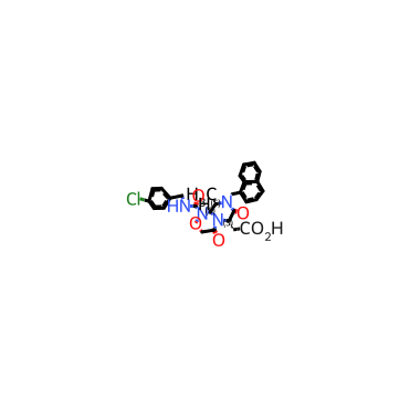 C[C@H]1[C@@H]2N(C(=O)NCc3ccc(Cl)cc3)OCC(=O)N2[C@@H](CC(=O)O)C(=O)N1Cc1cccc2ccccc12